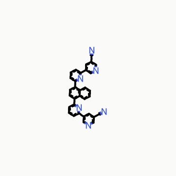 N#Cc1cncc(-c2cccc(-c3ccc(-c4cccc(-c5cncc(C#N)c5)n4)c4ccccc34)n2)c1